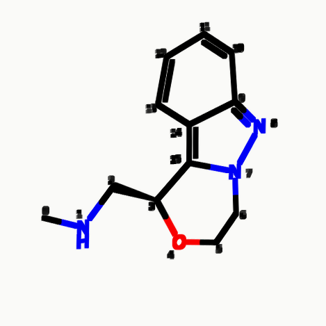 CNC[C@@H]1OCCn2nc3ccccc3c21